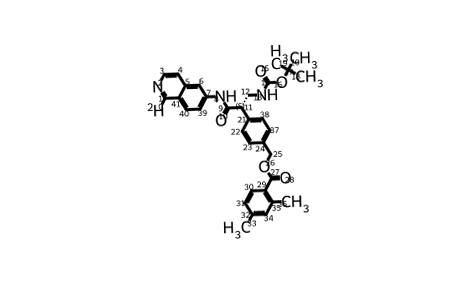 [2H]c1nccc2cc(NC(=O)[C@H](CNC(=O)OC(C)(C)C)c3ccc(COC(=O)c4ccc(C)cc4C)cc3)ccc12